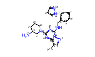 CC(C)c1cnn2c(NCc3ccccc3-n3cccn3)nc(N3CCCC(N)C3)nc12